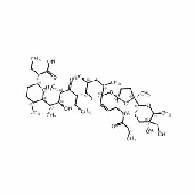 CCC(C(=O)[C@@H](C)[C@@H](O)[C@H](C)[C@@H]1O[C@@H](C(CC)C(=O)O)CC[C@@H]1C)[C@H]1O[C@]2(C=CC(NC(=O)OC)[C@]3(CC[C@@](C)([C@H]4CC[C@](O)(CC)[C@H](C)O4)O3)O2)[C@H](C)C[C@@H]1C